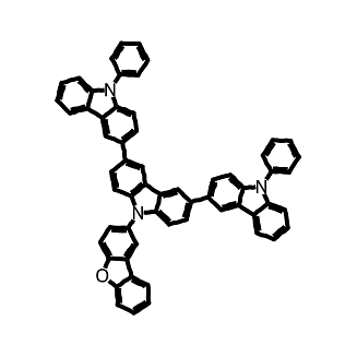 c1ccc(-n2c3ccccc3c3cc(-c4ccc5c(c4)c4cc(-c6ccc7c(c6)c6ccccc6n7-c6ccccc6)ccc4n5-c4ccc5oc6ccccc6c5c4)ccc32)cc1